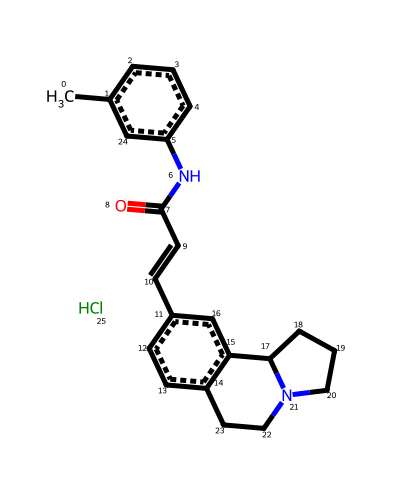 Cc1cccc(NC(=O)C=Cc2ccc3c(c2)C2CCCN2CC3)c1.Cl